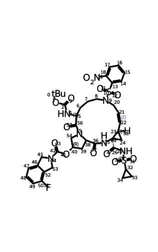 CC(C)(C)OC(=O)N[C@H]1CCCN(S(=O)(=O)c2ccccc2[N+](=O)[O-])C/C=C\[C@@H]2C[C@@]2(C(=O)NS(=O)(=O)C2CC2)NC(=O)C2C[C@@H](OC(=O)N3Cc4cccc(F)c4C3)CN2C1=O